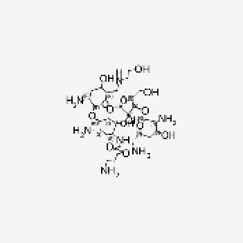 NCCS(=O)(=O)N[C@@H]1C[C@H](N)[C@@H](O[C@H]2O[C@H](CNCCO)C(O)C[C@H]2N)[C@H](O[C@@H]2O[C@H](CO)[C@@H](O[C@H]3O[C@@H](CN)C[C@H](O)[C@H]3N)[C@H]2O)[C@H]1O